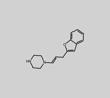 C(=CN1CCNCC1)Cc1cc2ccccc2o1